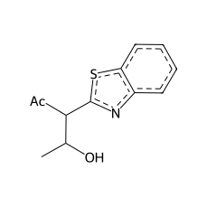 CC(=O)C(c1nc2ccccc2s1)C(C)O